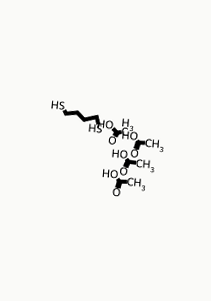 CC(=O)O.CC(=O)O.CC(=O)O.CC(=O)O.SCCCCS